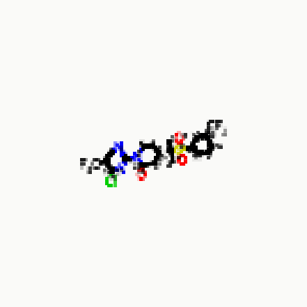 CC(C)([C@H]1CCN(c2ncc(C(F)(F)F)c(Cl)n2)C(=O)C1)S(=O)(=O)c1cccc(C(F)(F)F)c1